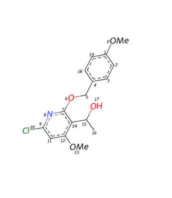 COc1ccc(COc2nc(Cl)cc(OC)c2C(C)O)cc1